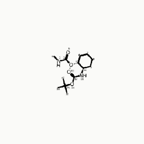 CNC(=O)O[C@@H]1CCCC[C@H]1NC(=O)OC(C)(C)C